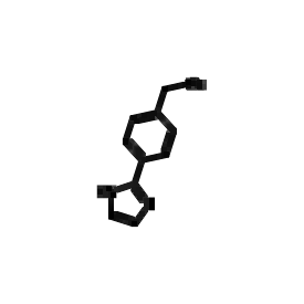 CC(C)(C)Cc1ccc(-c2ncc[nH]2)cc1